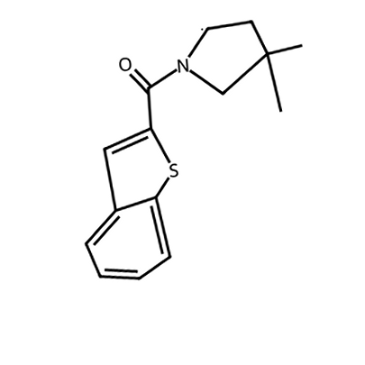 CC1(C)C[CH]N(C(=O)c2cc3ccccc3s2)C1